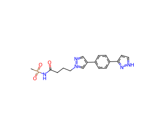 CS(=O)(=O)NC(=O)CCCn1cc(-c2ccc(-c3cc[nH]n3)cc2)cn1